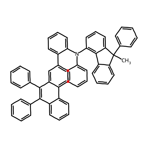 CC1(c2ccccc2)c2ccccc2-c2c(N(c3ccccc3)c3ccccc3-c3ccc4c(c3)c(-c3ccccc3)c(-c3ccccc3)c3ccccc34)cccc21